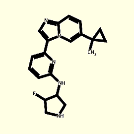 CC1(c2ccc3ncc(-c4cccc(NC5CNCC5F)n4)n3c2)CC1